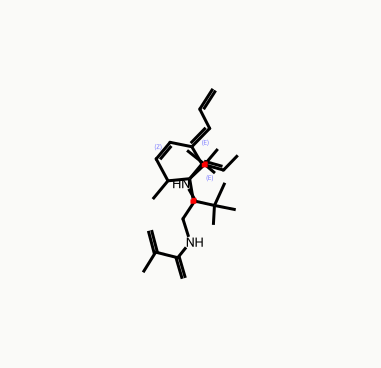 C=C/C=C(\C=C/C(C)C(CC(C)(C)C)C(C)(C)C)C(=C\C)/NCCNC(=C)C(=C)C